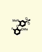 CNc1cc(S(C)(=O)=O)ccc1Oc1c(F)cccc1OC